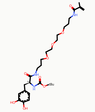 C=C(C)C(=O)NCCCOCCOCCOCCCNC(=O)[C@H](Cc1ccc(O)c(O)c1)NC(=O)OC(C)(C)C